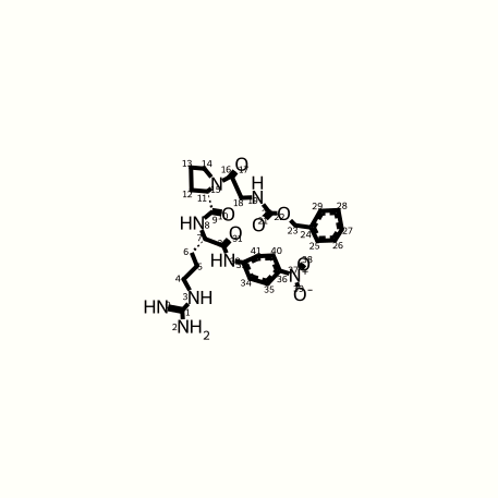 N=C(N)NCCC[C@H](NC(=O)[C@@H]1CCCN1C(=O)CNC(=O)OCc1ccccc1)C(=O)Nc1ccc([N+](=O)[O-])cc1